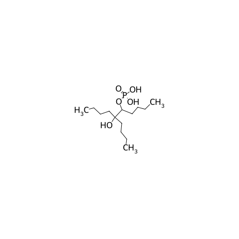 CCCCC(OP(=O)(O)O)C(O)(CCCC)CCCC